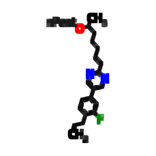 C=CCc1ccc(-c2cnc(/C=C/CCCC(C)OCCCCC)nc2)cc1F